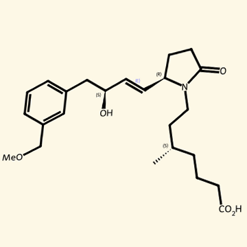 COCc1cccc(C[C@H](O)/C=C/[C@H]2CCC(=O)N2CC[C@@H](C)CCCC(=O)O)c1